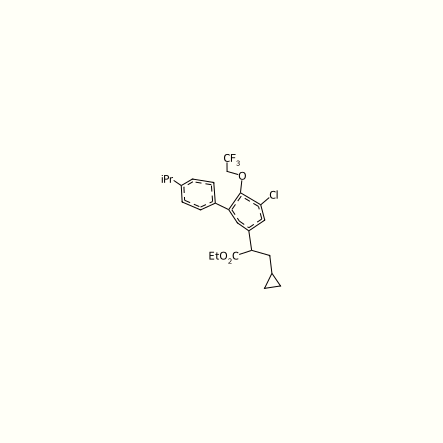 CCOC(=O)C(CC1CC1)c1cc(Cl)c(OCC(F)(F)F)c(-c2ccc(C(C)C)cc2)c1